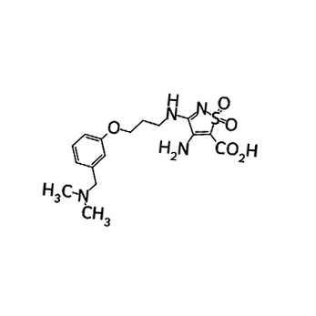 CN(C)Cc1cccc(OCCCNC2=NS(=O)(=O)C(C(=O)O)=C2N)c1